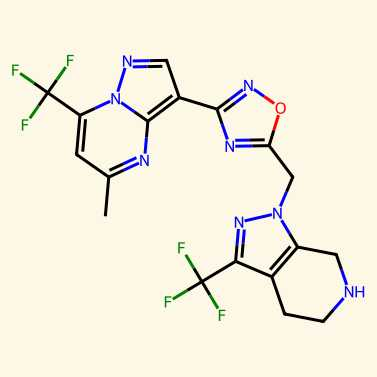 Cc1cc(C(F)(F)F)n2ncc(-c3noc(Cn4nc(C(F)(F)F)c5c4CNCC5)n3)c2n1